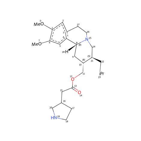 COc1cc2c(cc1OC)[C@H]1C[C@@H](COC(=O)CC3CCNC3)[C@H](CC(C)C)CN1CC2